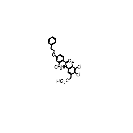 O=C(O)Cc1cc(NC(=O)c2ccc(OCCc3ccccc3)cc2C(F)(F)F)c(F)c(Cl)c1Cl